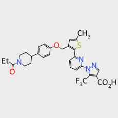 CCC(=O)N1CCC(c2ccc(OCc3cc(C)sc3-c3cccc(-n4ncc(C(=O)O)c4C(F)(F)F)n3)cc2)CC1